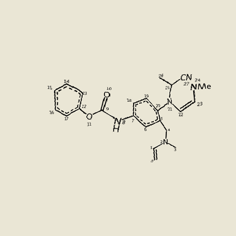 C=CN(C)Cc1cc(NC(=O)Oc2ccccc2)ccc1N(/C=C\NC)C(C)C#N